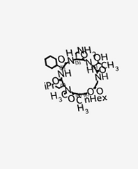 CCCCCC[C@H]1OC(=O)CNC(=O)[C@H](C(C)O)NC(=O)[C@H](CN)NC(=O)[C@H](C2CCCCC2)NC(=O)[C@H](CC(C)C)N(C)C(=O)[C@@H]1C